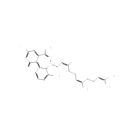 CC(C)=CCCC(C)=CCCC(C)=CCN1N=C(O)C2=CC(O)=CC(=O)C2=C2C=CC=C(O)C21